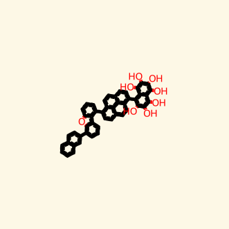 Oc1c(O)c(O)c2c(-c3ccc4ccc5c(-c6cccc7oc8c(-c9ccc%10ccccc%10c9)cccc8c67)ccc6ccc3c4c65)c(O)c(O)c(O)c2c1O